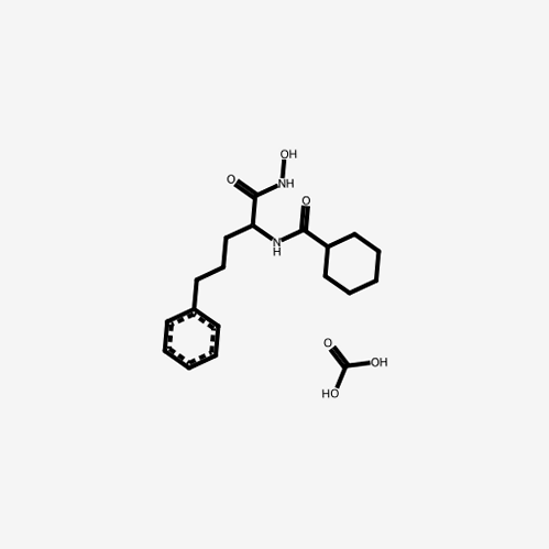 O=C(NC(CCCc1ccccc1)C(=O)NO)C1CCCCC1.O=C(O)O